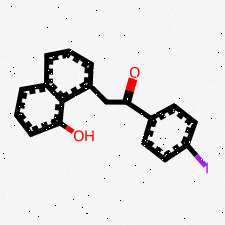 O=C(Cc1cccc2cccc(O)c12)c1ccc(I)cc1